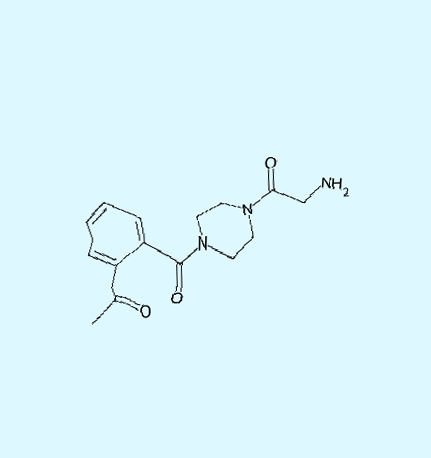 CC(=O)c1ccccc1C(=O)N1CCN(C(=O)CN)CC1